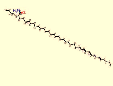 CCCC/C=C/C=C/C=C/C=C/C=C/CCCCCCCCCCCCCCCCCCC/C=C/CCC(CCCCC)C(N)=O